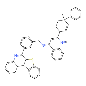 C=N/C(=C\C(=N/Cc1cccc(C2=NC3=CC=CCC3C3c4ccccc4SC23)c1)c1ccccc1)C1C=CC(C)(c2ccccc2)CC1